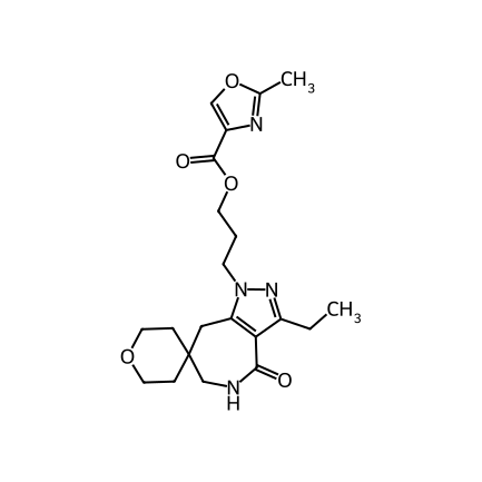 CCc1nn(CCCOC(=O)c2coc(C)n2)c2c1C(=O)NCC1(CCOCC1)C2